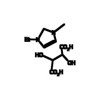 CCN1C=CN(C)C1.O=C(O)C(O)C(O)C(=O)O